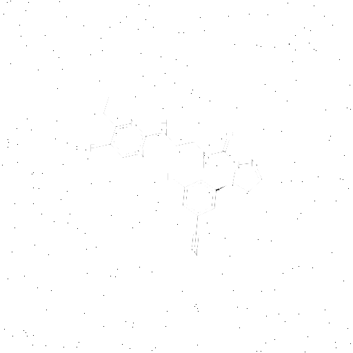 CCc1nc(NCCNC(=O)N2N=CC[C@H]2c2cc(F)cc(C#N)c2)ncc1F